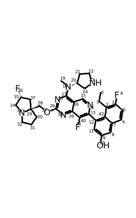 CCc1c(F)ccc2cc(O)cc(-c3ncc4c(N(C)[C@@H]5CCNC5)nc(OC[C@@]56CCCN5C[C@H](F)C6)nc4c3F)c12